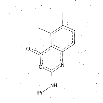 Cc1ccc2nc(NC(C)C)oc(=O)c2c1C